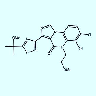 COCCn1c(=O)c2c(-c3noc(C(C)(C)OC)n3)ncn2c2ccc(Cl)c(C#N)c21